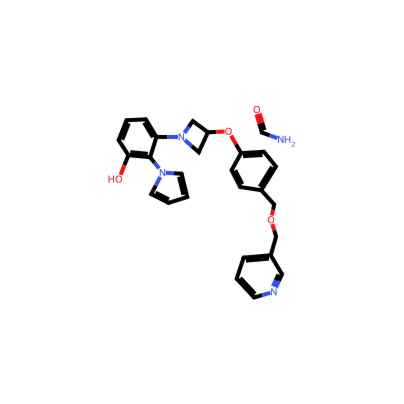 NC=O.Oc1cccc(N2CC(Oc3ccc(COCc4cccnc4)cc3)C2)c1-n1cccc1